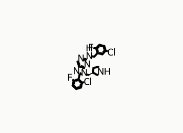 Fc1ccc(Cl)cc1CNc1ncc2nc(-c3c(F)cccc3Cl)n(C[C@H]3CCNC3)c2n1